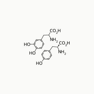 NC(Cc1ccc(O)c(O)c1)C(=O)O.N[C@@H](Cc1ccc(O)cc1)C(=O)O